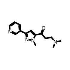 CN(C)CCC(=O)c1cc(-c2cccnc2)nn1C